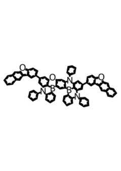 c1ccc(N2c3ccccc3B3c4cc5c(cc4Oc4cc(-c6ccc7oc8cc9ccccc9cc8c7c6)cc2c43)N(c2ccccc2)c2cc(-c3ccc4oc6cc7ccccc7cc6c4c3)cc3c2B5c2ccccc2N3c2ccccc2)cc1